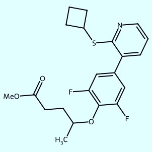 COC(=O)CCC(C)Oc1c(F)cc(-c2cccnc2SC2CCC2)cc1F